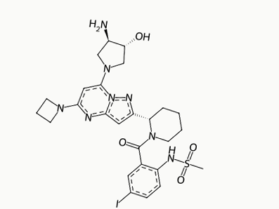 CS(=O)(=O)Nc1ccc(I)cc1C(=O)N1CCCC[C@H]1c1cc2nc(N3CCC3)cc(N3C[C@@H](N)[C@H](O)C3)n2n1